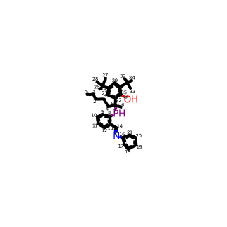 CCCCCC(C)(Pc1ccccc1/C=N/c1ccccc1)c1cc(C(C)(C)C)cc(C(C)(C)C)c1O